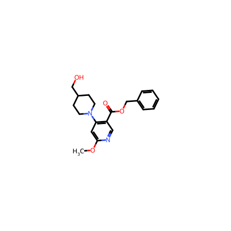 COc1cc(N2CCC(CO)CC2)c(C(=O)OCc2ccccc2)cn1